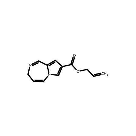 C=CCOC(=O)c1cc2n(c1)C=CCN=C2